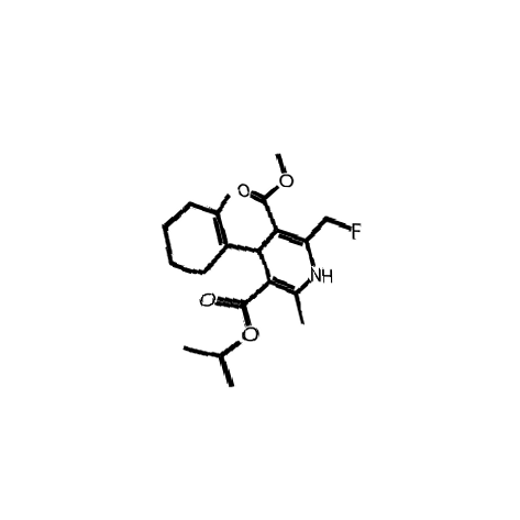 COC(=O)C1=C(CF)NC(C)=C(C(=O)OC(C)C)C1C1=C(C)CCCC1